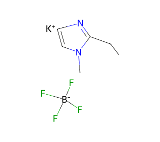 CCc1nccn1C.F[B-](F)(F)F.[K+]